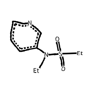 CCN(c1cccnc1)S(=O)(=O)CC